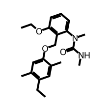 CCOc1cccc(N(C)C(=O)NC)c1COc1cc(C)c(CC)cc1C